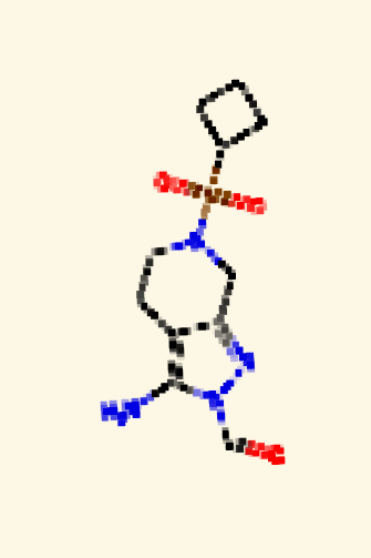 Nc1c2c(nn1C=O)CN(S(=O)(=O)C1CCC1)CC2